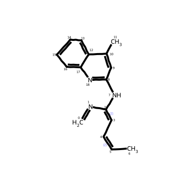 C=N/C(=C\C=C/C)Nc1cc(C)c2ccccc2n1